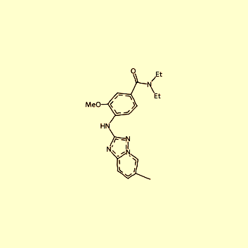 CCN(CC)C(=O)c1ccc(Nc2nc3ccc(C)cn3n2)c(OC)c1